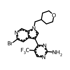 Nc1ncc(C(F)(F)F)c(-c2cn(CC3CCOCC3)c3cnc(Br)cc23)n1